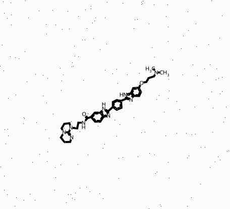 CN(C)CCCOc1ccc2nc(-c3ccc(-c4nc5ccc(C(=O)NCCN6CCCN7CCCN=C76)cc5[nH]4)cc3)[nH]c2c1